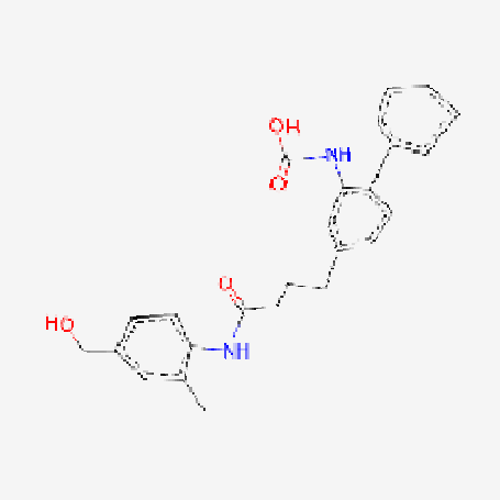 Cc1cc(CO)ccc1NC(=O)CCCc1ccc(-c2ccccc2)c(NC(=O)O)c1